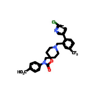 O=C(O)c1ccc(N2CC3(CCN(Cc4cc(C(F)(F)F)ccc4-c4ccc(Cl)nc4)CC3)OC2=O)cc1